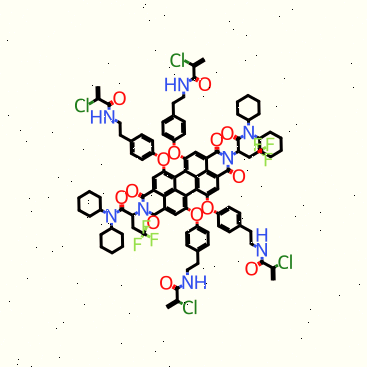 C=C(Cl)C(=O)NCCc1ccc(Oc2cc3c4c(cc(Oc5ccc(CCNC(=O)C(=C)Cl)cc5)c5c6c(Oc7ccc(CCNC(=O)C(=C)Cl)cc7)cc7c8c(cc(Oc9ccc(CCNC(=O)C(=C)Cl)cc9)c(c2c45)c86)C(=O)N(C(CC(F)(F)F)C(=O)N(C2CCCCC2)C2CCCCC2)C7=O)C(=O)N(C(CC(F)(F)F)C(=O)N(C2CCCCC2)C2CCCCC2)C3=O)cc1